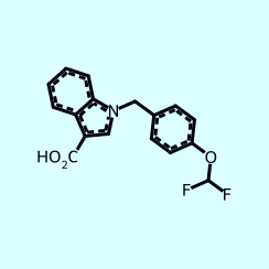 O=C(O)c1cn(Cc2ccc(OC(F)F)cc2)c2ccccc12